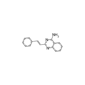 Nc1nc(/C=C/c2ccccc2)nc2ccccc12